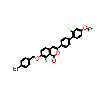 CCOc1ccc(-c2ccc(-c3cc4ccc(OCc5ccc(CC)cc5)c(F)c4c(=O)o3)cc2)c(F)c1